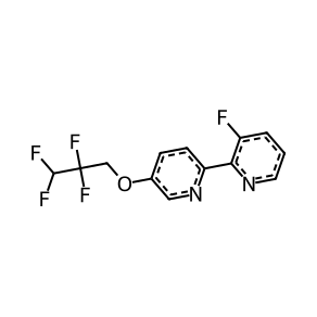 Fc1cccnc1-c1ccc(OCC(F)(F)C(F)F)cn1